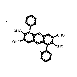 O=[C]c1cc2cc3c(-c4ccccc4)c([C]=O)c([C]=O)cc3cc2c(-c2ccccc2)c1[C]=O